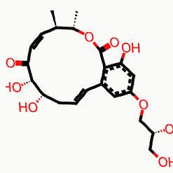 C[C@@H]1/C=C\C(=O)[C@@H](O)[C@@H](O)C/C=C/c2cc(OC[C@H](O)CO)cc(O)c2C(=O)O[C@H]1C